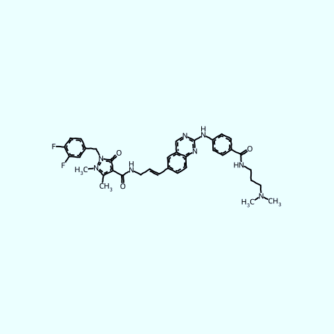 Cc1c(C(=O)NCC=Cc2ccc3nc(Nc4ccc(C(=O)NCCCN(C)C)cc4)ncc3c2)c(=O)n(Cc2ccc(F)c(F)c2)n1C